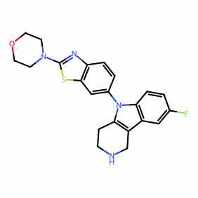 Fc1ccc2c(c1)c1c(n2-c2ccc3nc(N4CCOCC4)sc3c2)CCNC1